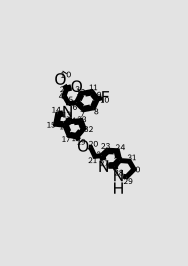 COC(=O)CC(c1ccc(F)cc1)n1ccc2cc(OCCc3ccc4c(n3)NCCC4)ccc21